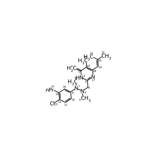 C=C1NC(CN(C)N(C)c2ccc(Cl)c(CCC)c2)=NC(C=C(C)C)=C1C